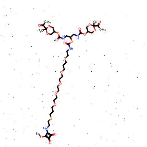 CCOc1c(NCCSCCCOCCOCCOCCOCCCSCCNC(=O)OC(CNC(=O)OC2COC(C)(C(=O)OC)OC2)CNC(=O)OC2COC(C)(C(=O)OC)OC2)c(=O)c1=O